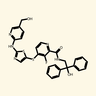 O=C(NCC(O)(c1ccccc1)c1ccccc1)c1nccc(Sc2cnc(Nc3ccc(CO)cn3)s2)c1F